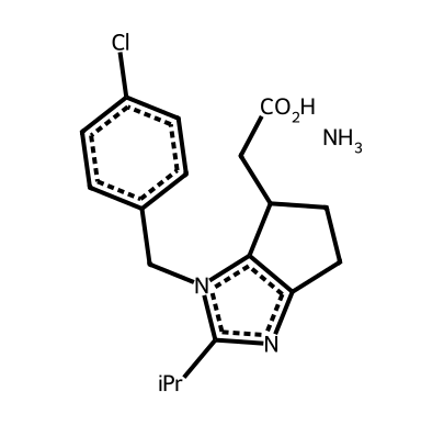 CC(C)c1nc2c(n1Cc1ccc(Cl)cc1)C(CC(=O)O)CC2.N